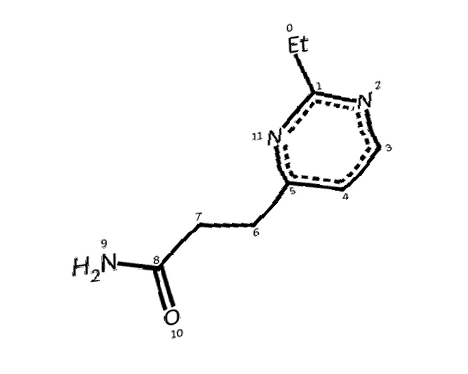 CCc1nccc(CCC(N)=O)n1